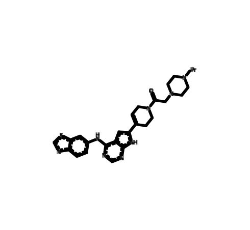 CC(C)N1CCN(CC(=O)N2CC=C(c3cc4c(Nc5ccc6ncsc6c5)ncnc4[nH]3)CC2)CC1